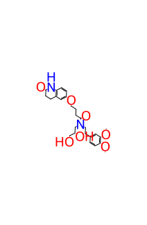 COc1ccc(CCN(CC(O)CO)C(=O)CCCOc2ccc3c(c2)CCC(=O)N3)cc1OC